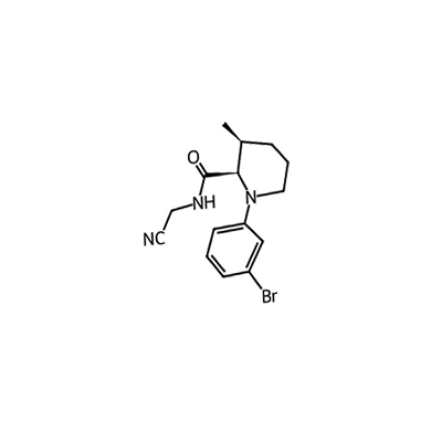 C[C@H]1CCCN(c2cccc(Br)c2)[C@H]1C(=O)NCC#N